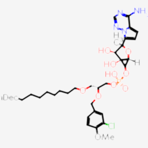 CCCCCCCCCCCCCCCCCCOC[C@H](COP(=O)(O)OC1[C@H]2O[C@@](C)(c3ccc4c(N)ncnn34)[C@H](O)[C@@]12O)OCc1ccc(OC)c(Cl)c1